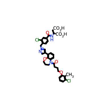 Cc1c(Cl)cccc1OCCCC(=O)N1CCCOc2c(-c3cnn(Cc4ccc(C(=O)N[C@@H](CC(=O)O)C(=O)O)cc4Cl)c3)cccc21